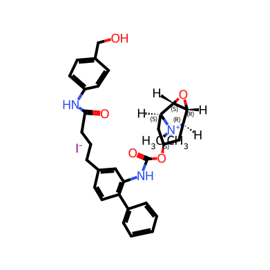 C[N+]1(C)[C@@H]2C[C@@H](OC(=O)Nc3cc(CCCC(=O)Nc4ccc(CO)cc4)ccc3-c3ccccc3)C[C@H]1[C@@H]1O[C@@H]12.[I-]